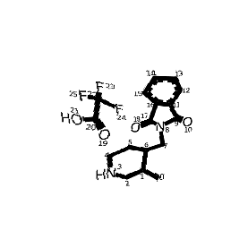 CC1CNCCC1CN1C(=O)c2ccccc2C1=O.O=C(O)C(F)(F)F